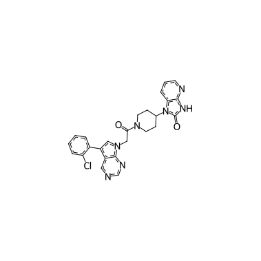 O=C(Cn1cc(-c2ccccc2Cl)c2cncnc21)N1CCC(n2c(=O)[nH]c3ncccc32)CC1